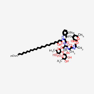 CCCCCCCCCCCCCCCCCCCCCCCCCCCCCC(O)CC(=O)N[C@H](Cc1ccccc1)C(=O)N[C@@H](C(=O)N[C@H](C)C(=O)N[C@@H](C)COC1O[C@@H](C)[C@H](OC)[C@@H](OC)[C@H]1O)[C@@H](C)OC1O[C@@H](C)[C@@H](O)[C@@H](O)[C@H]1O[C@@H]1O[C@@H](C)[C@H](O)[C@@H](O)[C@H]1O